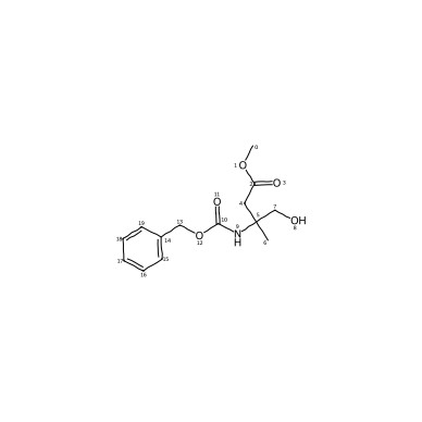 COC(=O)CC(C)(CO)NC(=O)OCc1ccccc1